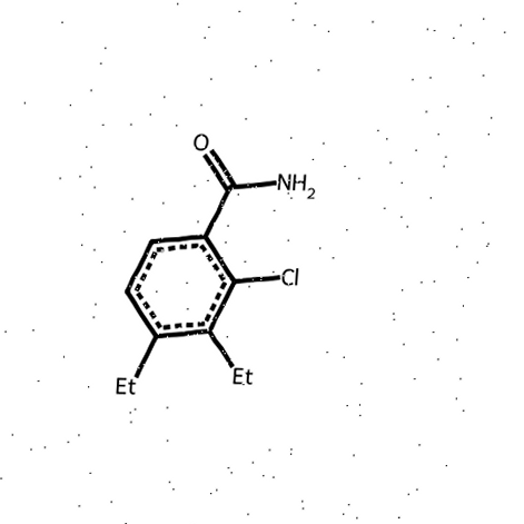 CCc1ccc(C(N)=O)c(Cl)c1CC